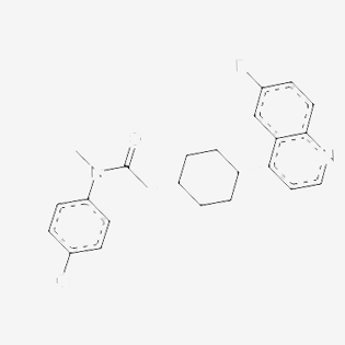 CN(C(=O)C[C@H]1CC[C@@H](c2ccnc3ccc(F)cc32)CC1)c1ccc(Cl)cc1